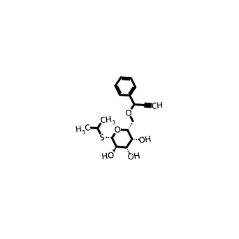 C#CC(OC[C@H]1O[C@@H](SC(C)C)[C@H](O)[C@@H](O)[C@H]1O)c1ccccc1